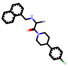 CC(C)C(NCc1cccc2ccccc12)C(=O)N1CCC(c2ccc(Cl)cc2)CC1